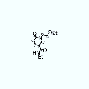 CCNC(=O)c1ccc(=O)n(CCOCC)c1